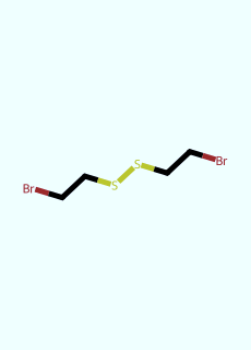 BrCCSSCCBr